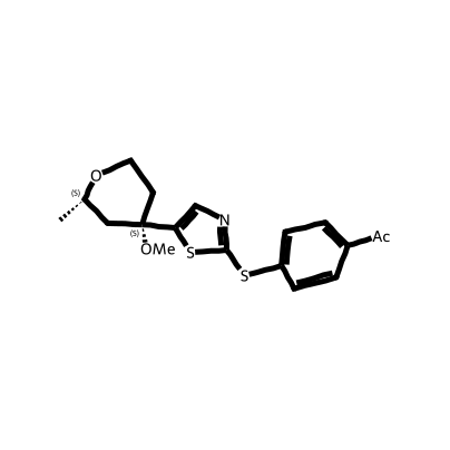 CO[C@@]1(c2cnc(Sc3ccc(C(C)=O)cc3)s2)CCO[C@@H](C)C1